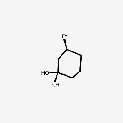 CC[C@H]1CCC[C@](C)(O)C1